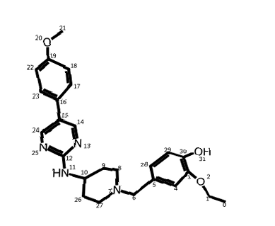 CCOc1cc(CN2CCC(Nc3ncc(-c4ccc(OC)cc4)cn3)CC2)ccc1O